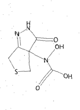 O=C(O)N(O)C12CSCC1=NNC2=O